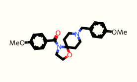 COc1ccc(CN2CCC3(CC2)OCCN3C(=O)c2ccc(OC)cc2)cc1